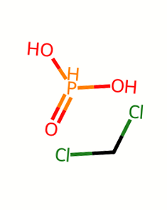 ClCCl.O=[PH](O)O